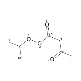 CC(=O)CC(=O)OOC(C)C